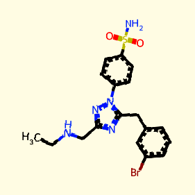 CCNCc1nc(Cc2cccc(Br)c2)n(-c2ccc(S(N)(=O)=O)cc2)n1